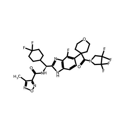 Cc1nonc1C(=O)N[C@H](c1nc2c(F)c(C3(C(=O)N4CC(F)(F)C(F)(F)C4)CCOCC3)ccc2[nH]1)C1CCC(F)(F)CC1